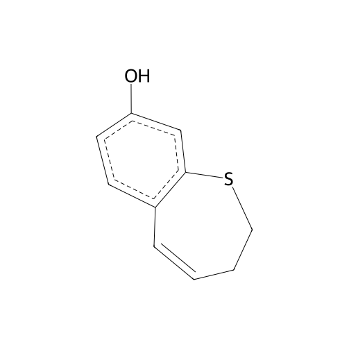 Oc1ccc2c(c1)SCCC=C2